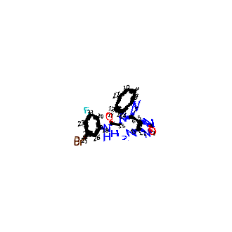 Nc1nonc1-c1nc2ccccc2n1CC(=O)Nc1cc(F)cc(Br)c1